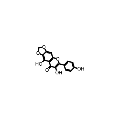 O=c1c(O)c(-c2ccc(O)cc2)oc2cc3c(c(O)c12)OCO3